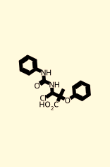 CC(Oc1ccccc1)(C(=O)O)C(Cl)NC(=O)Nc1ccccc1